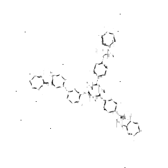 c1cc(-c2ccc3oc4ccccc4c3c2)cc(-c2nc(-c3ccc(-c4nc5ccccc5o4)cc3)nc(-c3ccc(-c4nc5ccccc5o4)cc3)n2)c1